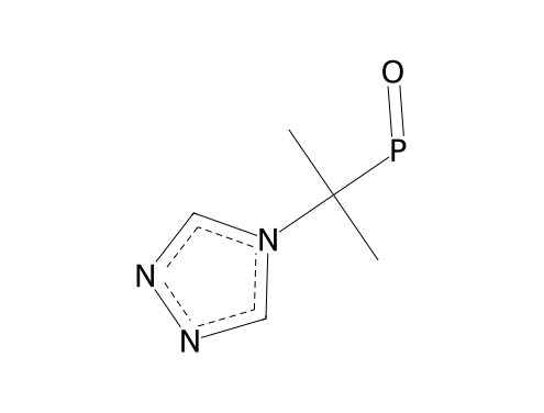 CC(C)(P=O)n1cnnc1